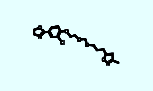 Cc1cc(CCCOCOCCOc2ccc(C3=NCCO3)cc2Cl)on1